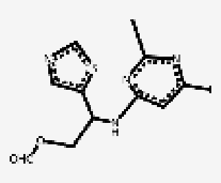 Cc1nc(I)cc(NC(COC=O)c2cncs2)n1